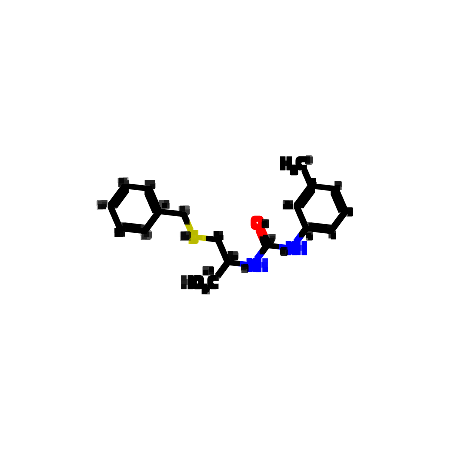 Cc1cccc(NC(=O)NC(CSCc2ccccc2)C(=O)O)c1